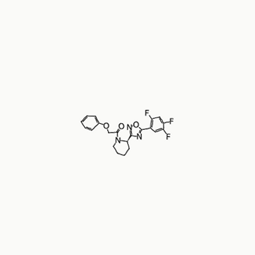 O=C(COc1ccccc1)N1CCCC[C@@H]1c1noc(-c2cc(F)c(F)cc2F)n1